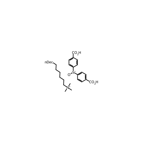 CCCCCCCCCCCCCCCC[N+](C)(C)C.O=C(O)c1ccc([S+]([O-])c2ccc(C(=O)O)cc2)cc1